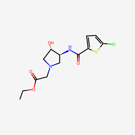 CCOC(=O)CN1C[C@H](NC(=O)c2ccc(Cl)s2)[C@@H](O)C1